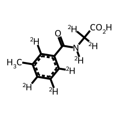 [2H]c1c([2H])c(C)c([2H])c(C(=O)N([2H])C([2H])([2H])C(=O)O)c1[2H]